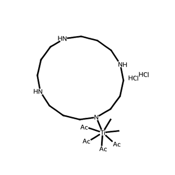 C[C](=O)[Ti]([CH3])([CH3])([C](C)=O)([C](C)=O)([C](C)=O)[N]1CCCNCCCNCCCNCCC1.Cl.Cl